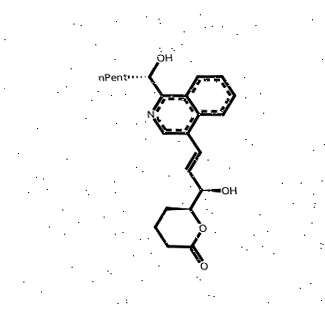 CCCCC[C@H](O)c1ncc(/C=C/[C@@H](O)[C@@H]2CCCC(=O)O2)c2ccccc12